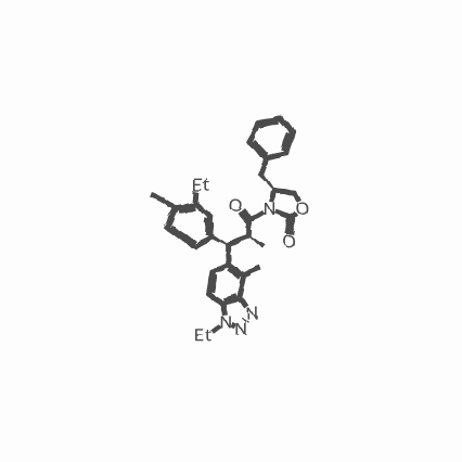 CCc1cc([C@H](c2ccc3c(nnn3CC)c2C)[C@H](C)C(=O)N2C(=O)OC[C@@H]2Cc2ccccc2)ccc1C